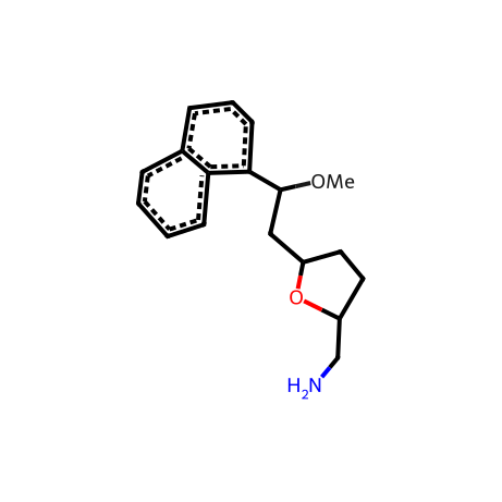 COC(CC1CCC(CN)O1)c1cccc2ccccc12